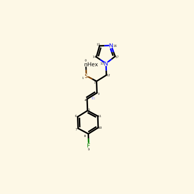 CCCCCCSC(/C=C/c1ccc(F)cc1)Cn1ccnc1